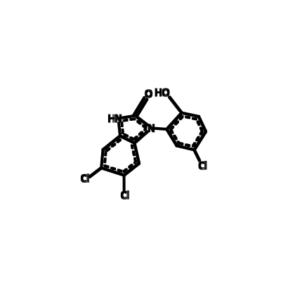 O=c1[nH]c2cc(Cl)c(Cl)cc2n1-c1cc(Cl)ccc1O